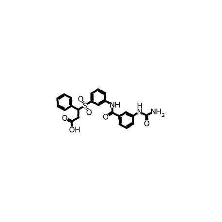 NC(=O)Nc1cccc(C(=O)Nc2cccc(S(=O)(=O)C(CC(=O)O)c3ccccc3)c2)c1